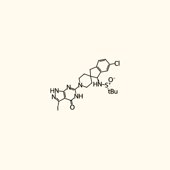 CC(C)(C)[S@@+]([O-])N[C@@H]1c2cc(Cl)ccc2CC12CCN(c1nc3[nH]nc(I)c3c(=O)[nH]1)CC2